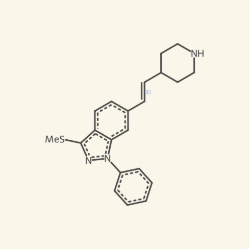 CSc1nn(-c2ccccc2)c2cc(/C=C/C3CCNCC3)ccc12